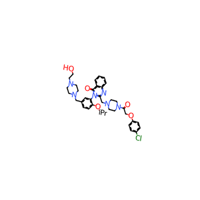 CC(C)Oc1ccc(CN2CCN(CCO)CC2)cc1-n1c(CN2CCN(C(=O)COc3ccc(Cl)cc3)CC2)nc2ccccc2c1=O